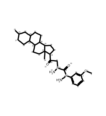 COc1cccc(N(N)C(=O)N(N)CC(=O)C2CCC3C4CCC5CC(C)CCC5C4CCC23C)c1